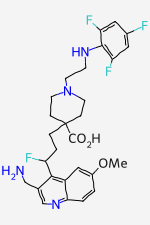 COc1ccc2ncc(CN)c(C(F)CCC3(C(=O)O)CCN(CCNc4c(F)cc(F)cc4F)CC3)c2c1